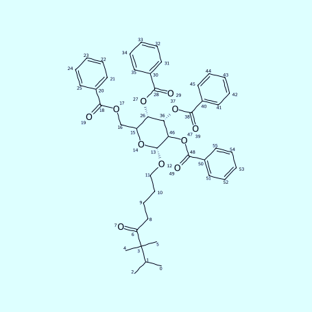 CC(C)C(C)(C)C(=O)CCCCO[C@@H]1OC(COC(=O)c2ccccc2)[C@H](OC(=O)c2ccccc2)[C@H](OC(=O)c2ccccc2)C1OC(=O)c1ccccc1